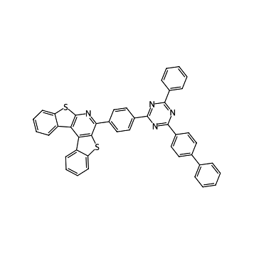 c1ccc(-c2ccc(-c3nc(-c4ccccc4)nc(-c4ccc(-c5nc6sc7ccccc7c6c6c5sc5ccccc56)cc4)n3)cc2)cc1